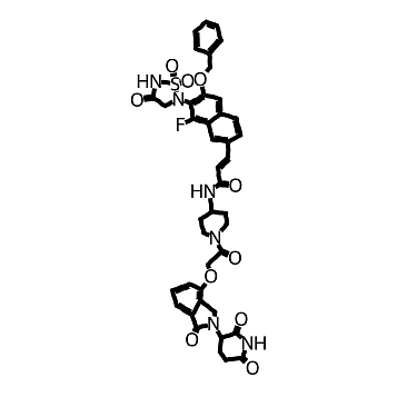 O=C(C=Cc1ccc2cc(OCc3ccccc3)c(N3CC(=O)NS3(=O)=O)c(F)c2c1)NC1CCN(C(=O)COc2cccc3c2CN(C2CCC(=O)NC2=O)C3=O)CC1